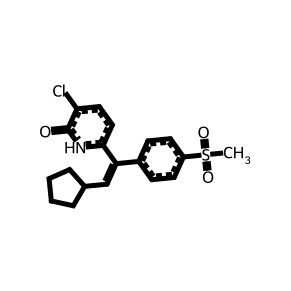 CS(=O)(=O)c1ccc(/C(=C/C2CCCC2)c2ccc(Cl)c(=O)[nH]2)cc1